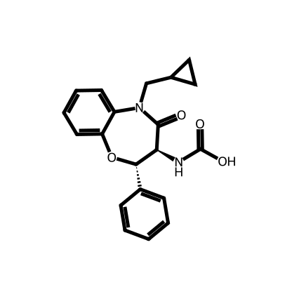 O=C(O)N[C@@H]1C(=O)N(CC2CC2)c2ccccc2O[C@H]1c1ccccc1